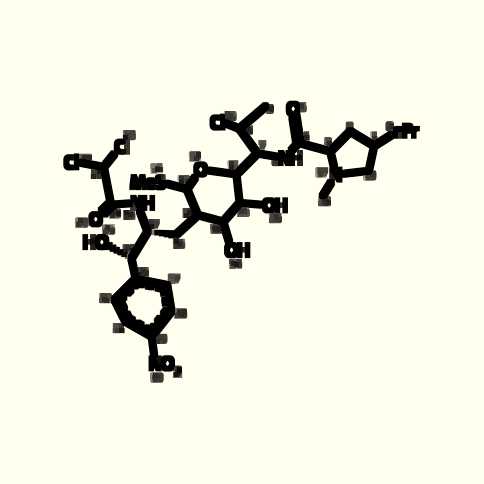 CCCC1CC(C(=O)NC(C(C)Cl)C2OC(SC)C([CH][C@@H](NC(=O)C(Cl)Cl)[C@@H](O)c3ccc([N+](=O)[O-])cc3)C(O)C2O)N(C)C1